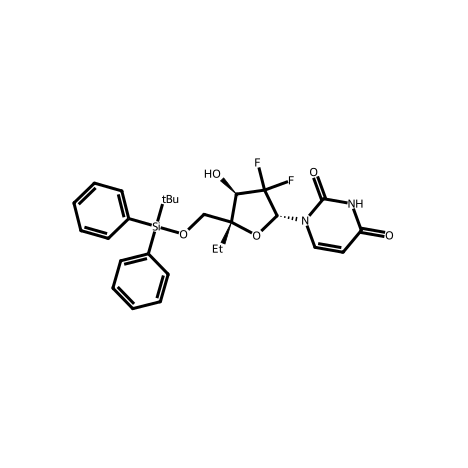 CC[C@]1(CO[Si](c2ccccc2)(c2ccccc2)C(C)(C)C)O[C@@H](n2ccc(=O)[nH]c2=O)C(F)(F)[C@@H]1O